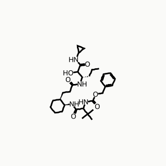 CCC[C@H](NC(=O)CC[C@@H]1CCCC[C@@H]1NC(=O)C(NC(=O)OCc1ccccc1)C(C)(C)C)C(O)C(=O)NC1CC1